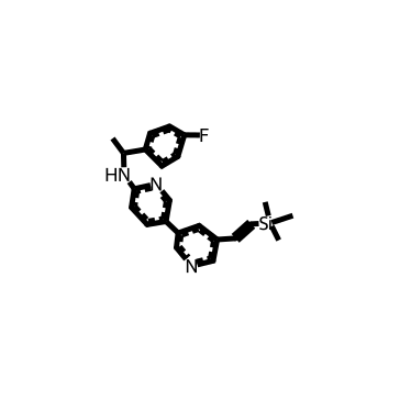 CC(Nc1ccc(-c2cncc(C#C[Si](C)(C)C)c2)cn1)c1ccc(F)cc1